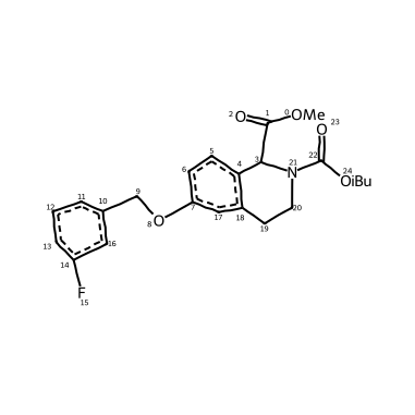 COC(=O)C1c2ccc(OCc3cccc(F)c3)cc2CCN1C(=O)OCC(C)C